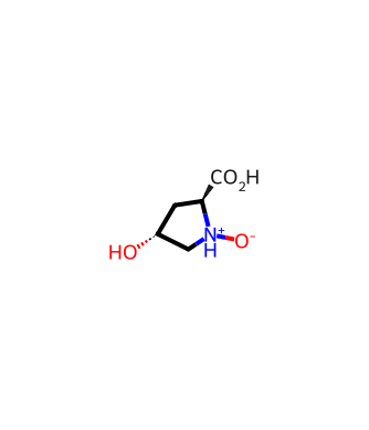 O=C(O)[C@@H]1C[C@@H](O)C[NH+]1[O-]